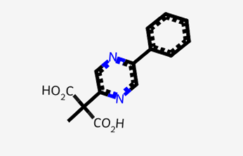 CC(C(=O)O)(C(=O)O)c1cnc(-c2ccccc2)cn1